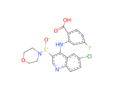 O=C(O)c1ccc(F)cc1Nc1c([S+]([O-])N2CCOCC2)cnc2ccc(Cl)cc12